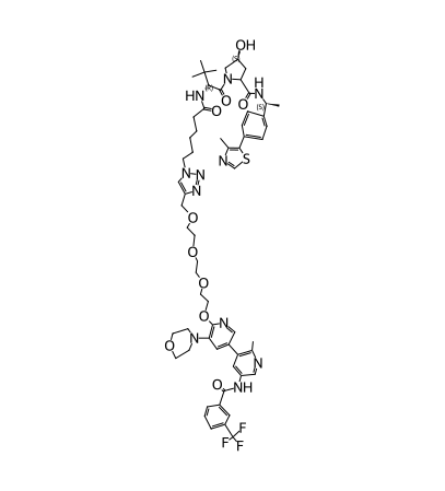 Cc1ncc(NC(=O)c2cccc(C(F)(F)F)c2)cc1-c1cnc(OCCOCCOCCOCc2cn(CCCCCC(=O)N[C@@H](C(=O)N3C[C@@H](O)CC3C(=O)N[C@@H](C)c3ccc(-c4scnc4C)cc3)C(C)(C)C)nn2)c(N2CCOCC2)c1